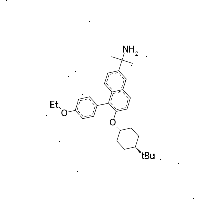 CCOc1ccc(-c2c(O[C@H]3CC[C@H](C(C)(C)C)CC3)ccc3cc(C(C)(C)N)ccc23)cc1